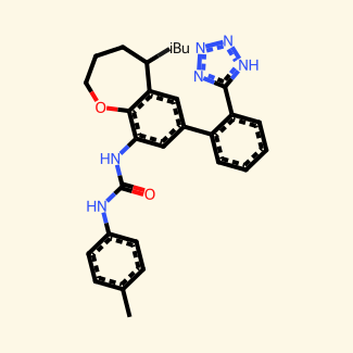 CCC(C)C1CCCOc2c(NC(=O)Nc3ccc(C)cc3)cc(-c3ccccc3-c3nnn[nH]3)cc21